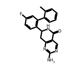 Cc1ccccc1-c1cc(F)ccc1C1Cc2nc(N)ncc2C(=O)N1